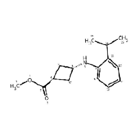 COC(=O)[C@H]1C[C@H](Nc2ccccc2C(C)C)C1